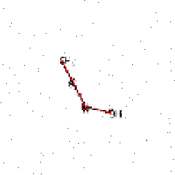 CCCCCCCCCCCCCCCCOC(=O)CCCCCCCC=CCCCCCCCCN1CCN=C1CCCCCCCC=CCCCCCCCC(=O)O